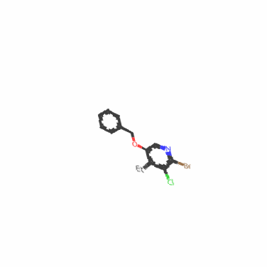 CCc1c(OCc2ccccc2)cnc(Br)c1Cl